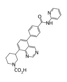 O=C(Nc1ccccn1)c1ccc(-c2ccc(C3CCCN(C(=O)O)C3)c3ncncc23)cc1